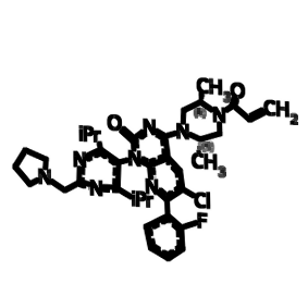 C=CC(=O)N1C[C@H](C)N(c2nc(=O)n(-c3c(C(C)C)nc(CN4CCCC4)nc3C(C)C)c3nc(-c4ccccc4F)c(Cl)cc23)C[C@H]1C